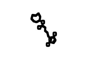 O=C(CCCCN1C(=O)C=CC1=O)O[C@@H]1CC/C=C/CCC1